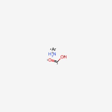 N.O=CO.[Ar]